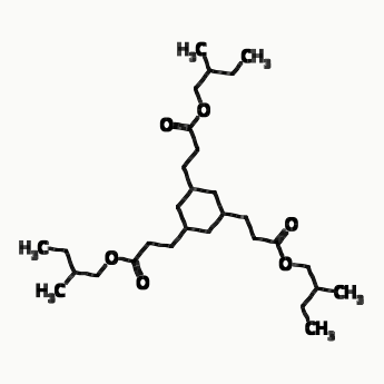 CCC(C)COC(=O)CCC1CC(CCC(=O)OCC(C)CC)CC(CCC(=O)OCC(C)CC)C1